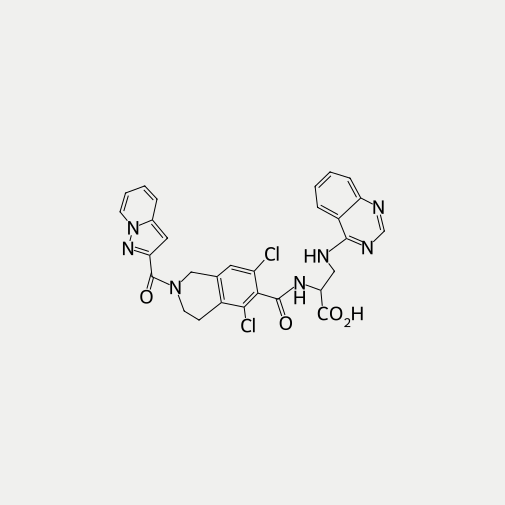 O=C(NC(CNc1ncnc2ccccc12)C(=O)O)c1c(Cl)cc2c(c1Cl)CCN(C(=O)c1cc3ccccn3n1)C2